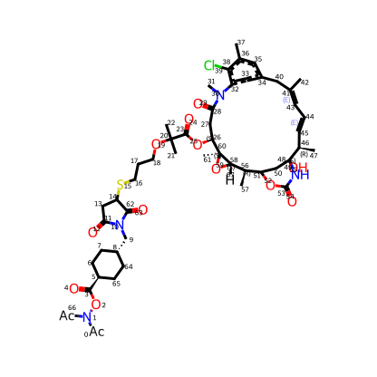 CC(=O)N(OC(=O)[C@H]1CC[C@H](CN2C(=O)CC(SCCCOC(C)(C)C(=O)O[C@H]3CC(=O)N(C)c4cc(cc(C)c4Cl)C/C(C)=C/C=C/[C@@H](C)[C@@]4(O)CC(OC(=O)N4)[C@@H](C)[C@@H]4O[C@@]34C)C2=O)CC1)C(C)=O